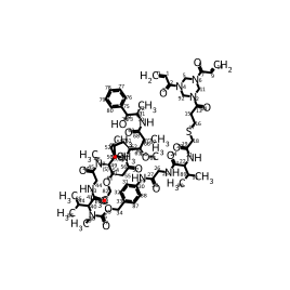 C=CC(=O)N1CN(C(=O)C=C)CN(C(=O)CCSCC(=O)NC(C(=O)NCC(=O)Nc2ccc(COC(=O)N(C)C(C(=O)NCC(=O)N(C)[C@@H]([C@@H](C)CC)[C@@H](CC(=O)N3CCC[C@H]3[C@H](OC)[C@@H](C)C(=O)N[C@H](C)[C@@H](O)c3ccccc3)OCC)C(C)C)cc2)C(C)C)C1